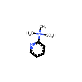 C[N+](C)(c1[c]cccn1)S(=O)(=O)O